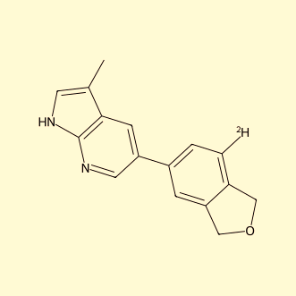 [2H]c1cc(-c2cnc3[nH]cc(C)c3c2)cc2c1COC2